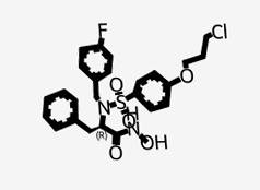 O=C(NO)[C@@H](Cc1ccccc1)N(Cc1ccc(F)cc1)S(=O)(=O)c1ccc(OCCCCl)cc1